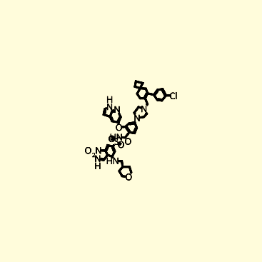 N=CC1C([N+](=O)[O-])=CC(S(=O)(=O)NC(=O)c2ccc(N3CCN(CC4=C(c5ccc(Cl)cc5)CC5(CCC5)CC4)CC3)cc2Oc2cnc3[nH]ccc3c2)=CC1NCC1CCOCC1